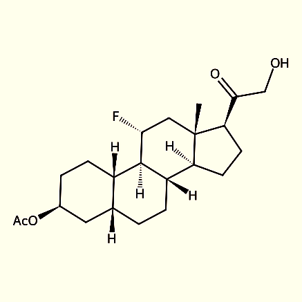 CC(=O)O[C@H]1CC[C@H]2[C@H](CC[C@@H]3[C@@H]2[C@H](F)C[C@]2(C)[C@@H](C(=O)CO)CC[C@@H]32)C1